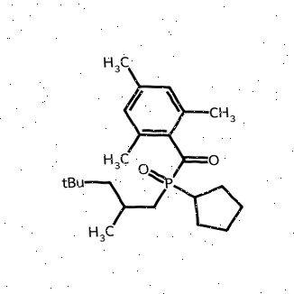 Cc1cc(C)c(C(=O)P(=O)(CC(C)CC(C)(C)C)C2CCCC2)c(C)c1